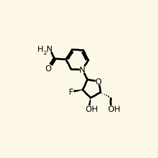 NC(=O)C1=CC=CN(C2O[C@H](CO)[C@@H](O)[C@H]2F)C1